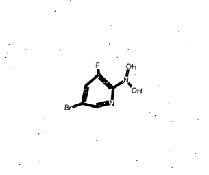 ON(O)c1ncc(Br)cc1F